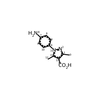 Cc1nn(-c2ccc(N)cc2)c(C)c1C(=O)O